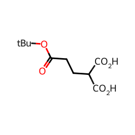 CC(C)(C)OC(=O)CCC(C(=O)O)C(=O)O